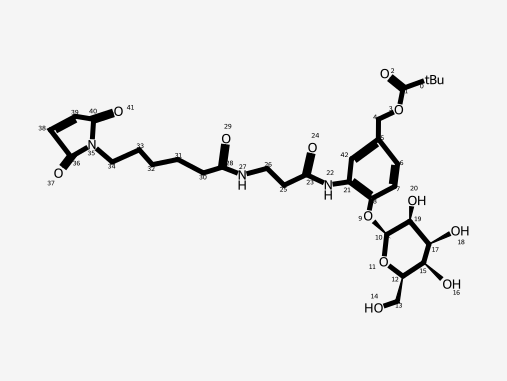 CC(C)(C)C(=O)OCc1ccc(O[C@@H]2O[C@H](CO)[C@H](O)[C@H](O)[C@@H]2O)c(NC(=O)CCNC(=O)CCCCCN2C(=O)C=CC2=O)c1